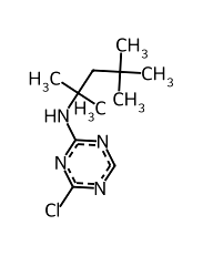 CC(C)(C)CC(C)(C)Nc1ncnc(Cl)n1